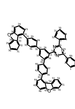 c1ccc(-c2nc(-c3ccccc3)nc(-c3cc(-c4ccc(-c5cccc6oc7ccccc7c56)cc4)cc(-c4ccc(-c5cccc6oc7ccccc7c56)cc4)c3)n2)cc1